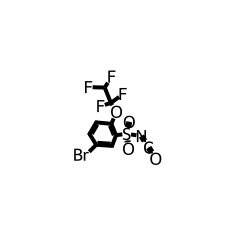 O=C=NS(=O)(=O)c1cc(Br)ccc1OC(F)(F)C(F)F